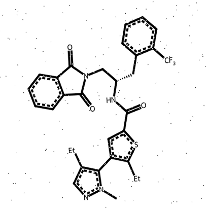 CCc1cnn(C)c1-c1cc(C(=O)N[C@@H](Cc2ccccc2C(F)(F)F)CN2C(=O)c3ccccc3C2=O)sc1CC